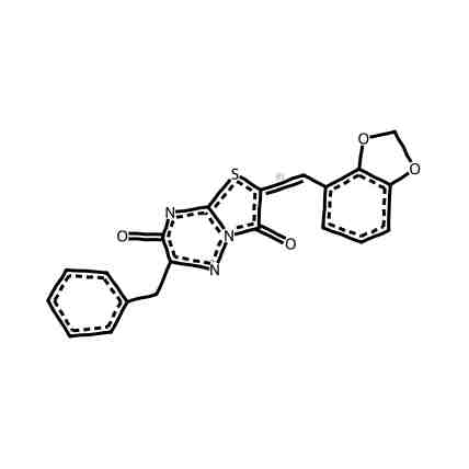 O=c1nc2s/c(=C/c3cccc4c3OCO4)c(=O)n2nc1Cc1ccccc1